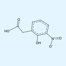 O=C(O)Cc1cccc([N+](=O)[O-])c1O